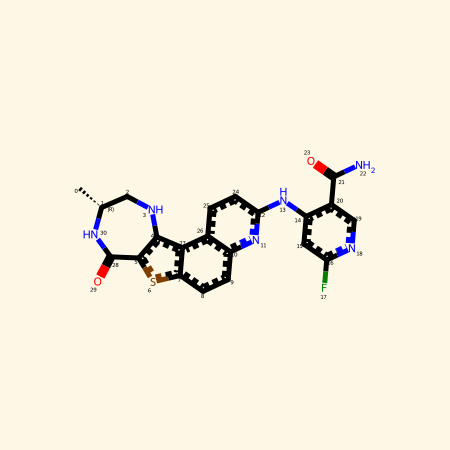 C[C@@H]1CNc2c(sc3ccc4nc(Nc5cc(F)ncc5C(N)=O)ccc4c23)C(=O)N1